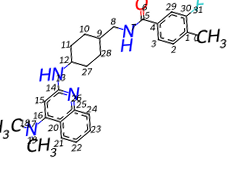 Cc1ccc(C(=O)NCC2CCC(Nc3cc(N(C)C)c4ccccc4n3)CC2)cc1F